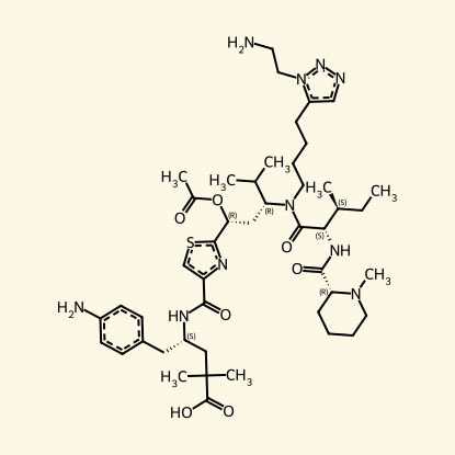 CC[C@H](C)[C@H](NC(=O)[C@H]1CCCCN1C)C(=O)N(CCCCc1cnnn1CCN)[C@H](C[C@@H](OC(C)=O)c1nc(C(=O)N[C@@H](Cc2ccc(N)cc2)CC(C)(C)C(=O)O)cs1)C(C)C